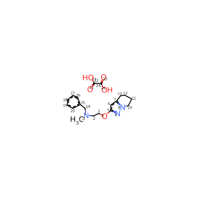 CN(CCOc1cc2n(n1)CCCC2)Cc1ccccc1.O=C(O)C(=O)O